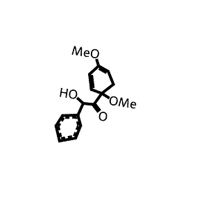 COC1=CCC(OC)(C(=O)C(O)c2ccccc2)C=C1